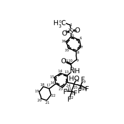 CCS(=O)(=O)c1ccc(CC(=O)Nc2ccc(C3CCCCC3)cc2C(O)(C(F)(F)F)C(F)(F)F)cc1